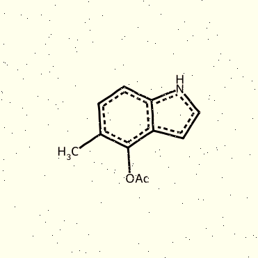 CC(=O)Oc1c(C)ccc2[nH]ccc12